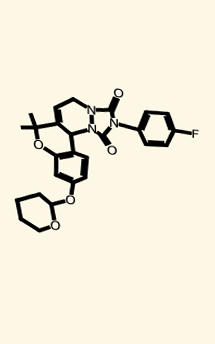 CC1(C)Oc2cc(OC3CCCCO3)ccc2C2C1=CCn1c(=O)n(-c3ccc(F)cc3)c(=O)n12